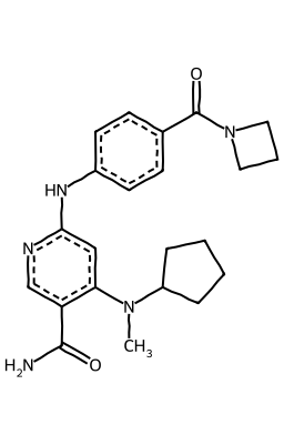 CN(c1cc(Nc2ccc(C(=O)N3CCC3)cc2)ncc1C(N)=O)C1CCCC1